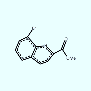 COC(=O)c1ccc2cccc(Br)c2n1